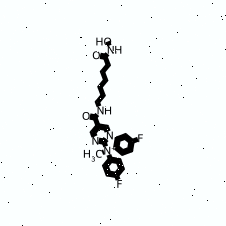 C[N+](c1ccc(F)cc1)(c1ccc(F)cc1)c1ncc(C(=O)NCCCCCCC(=O)NO)cn1